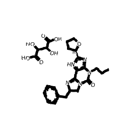 CCCN1C(=O)N2CC(Cc3ccccc3)N=C2c2[nH]c([C@H]3CCCO3)nc21.O=C(O)C(O)C(O)C(=O)O